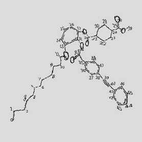 CCCCCCCCCCCCOc1cccc(OC(=O)C2CCC(C(=O)OC)CC2)c1OC(=O)c1ccc(C#Cc2ccccc2)cc1